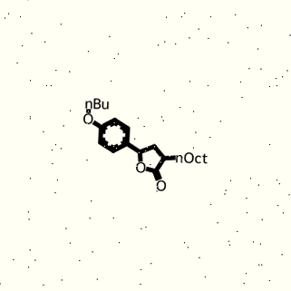 CCCCCCCCC1CC(c2ccc(OCCCC)cc2)OC1=O